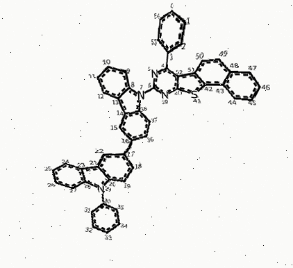 c1ccc(-c2nc(-n3c4ccccc4c4cc(-c5ccc6c(c5)c5ccccc5n6-c5ccccc5)ccc43)nc3sc4c5ccccc5ccc4c23)cc1